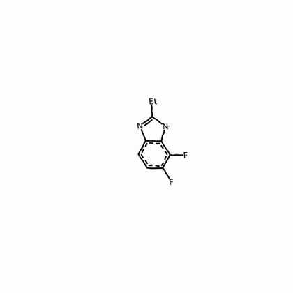 CCC1=Nc2ccc(F)c(F)c2[N]1